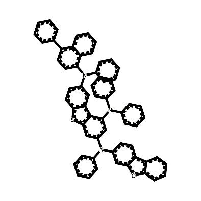 c1ccc(-c2ccc(N(c3ccccc3)c3ccc4sc5cc(N(c6ccccc6)c6ccc7c(c6)oc6ccccc67)cc(N(c6ccccc6)c6ccccc6)c5c4c3)c3ccccc23)cc1